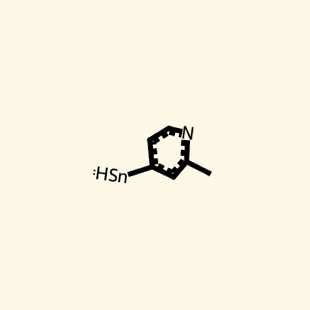 Cc1c[c]([SnH])ccn1